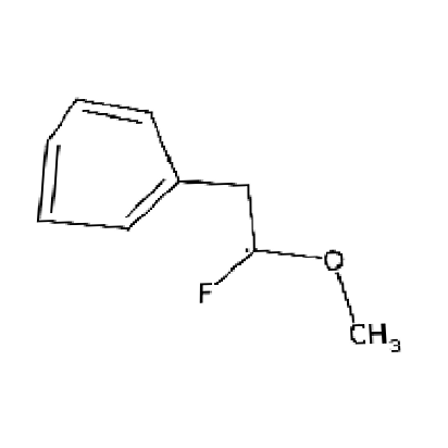 CO[C](F)Cc1ccccc1